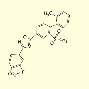 Cc1ccccc1-c1ccc(-c2nc(-c3ccc(C(=O)O)c(F)c3)no2)cc1S(C)(=O)=O